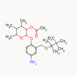 CC(=O)OC1C(Oc2ccc(N)cc2CO[Si](C)(C)C(C)(C)C)OC(C)C(C)C1C